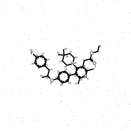 CCOC(=O)Cc1c(C)nc(C)c(-c2ccc(OC(C)Cc3ccc(F)cc3)cc2)c1N1CCC(C)(C)CC1